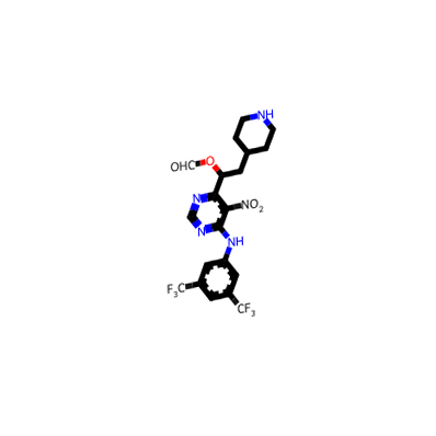 O=COC(CC1CCNCC1)c1ncnc(Nc2cc(C(F)(F)F)cc(C(F)(F)F)c2)c1[N+](=O)[O-]